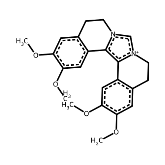 COc1cc2c(cc1OC)-c1c3[n+](cn1CC2)CCc1cc(OC)c(OC)cc1-3